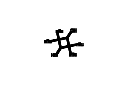 CCCCC1(CCCC)C(O)C(CCCC)(CCCC)C1O